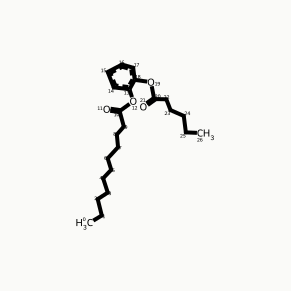 CCCCCCCCCCC(=O)Oc1ccccc1OC(=O)CCCCC